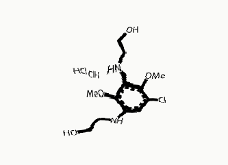 COc1c(Cl)cc(NCCO)c(OC)c1NCCO.Cl.Cl